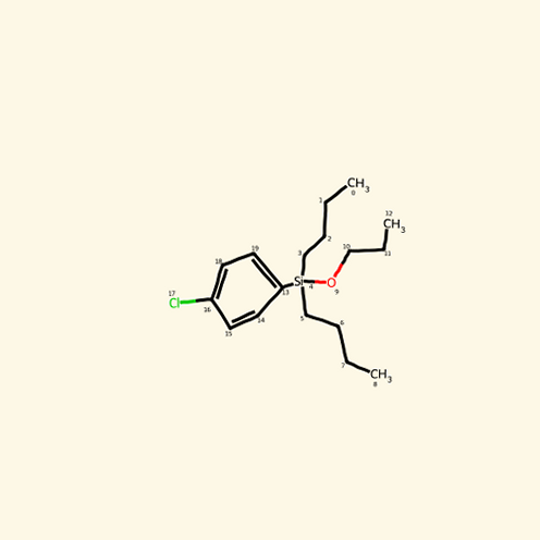 CCCC[Si](CCCC)(OCCC)c1ccc(Cl)cc1